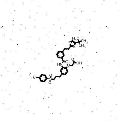 CC(C)(C)c1csc(C=Cc2cccc(C(=O)Nc3cc(CCCS(=O)(=O)c4ccc(Cl)cc4)ccc3OCC(=O)O)c2)n1